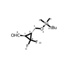 CC(C)(C)[Si](C)(C)OC[C@H]1[C@H](C=O)C1(F)F